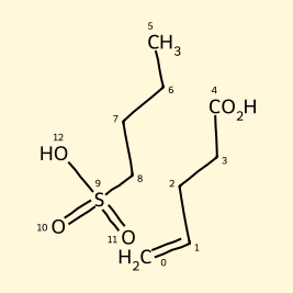 C=CCCC(=O)O.CCCCS(=O)(=O)O